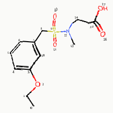 CCOc1cccc(CS(=O)(=O)N(C)CC(=O)O)c1